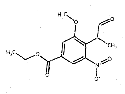 CCOC(=O)c1cc(OC)c(C(C)C=O)c([N+](=O)[O-])c1